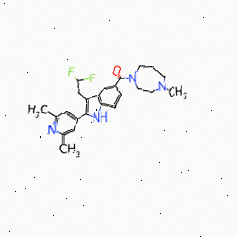 Cc1cc(-c2[nH]c3ccc(C(=O)N4CCCN(C)CC4)cc3c2CC(F)F)cc(C)n1